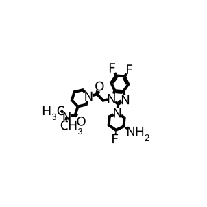 CN(C)C(=O)C1CCCN(C(=O)Cn2c(N3CC[C@@H](F)[C@H](N)C3)nc3cc(F)c(F)cc32)C1